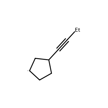 CCC#CC1C[CH]CC1